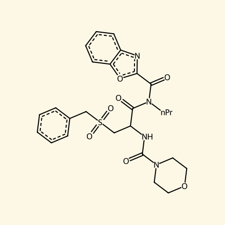 CCCN(C(=O)c1nc2ccccc2o1)C(=O)C(CS(=O)(=O)Cc1ccccc1)NC(=O)N1CCOCC1